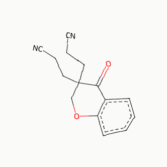 N#CCCC1(CCC#N)COc2ccccc2C1=O